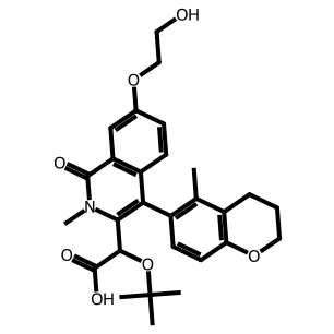 Cc1c(-c2c(C(OC(C)(C)C)C(=O)O)n(C)c(=O)c3cc(OCCO)ccc23)ccc2c1CCCO2